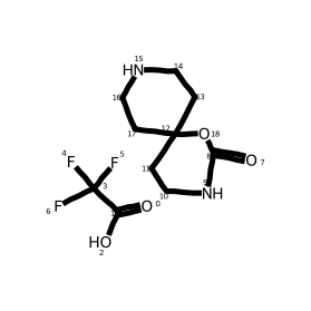 O=C(O)C(F)(F)F.O=C1NCCC2(CCNCC2)O1